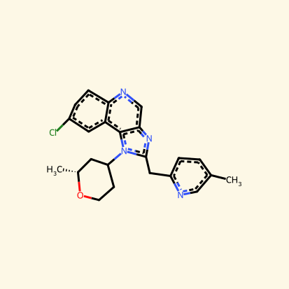 Cc1ccc(Cc2nc3cnc4ccc(Cl)cc4c3n2C2CCO[C@H](C)C2)nc1